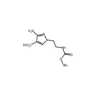 CCOC(=O)c1cn(CCNC(=O)OC(C)(C)C)nc1N